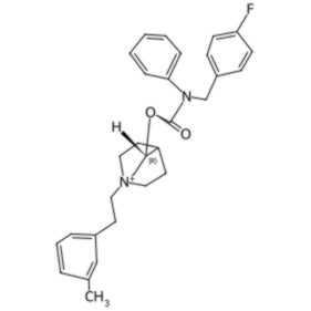 Cc1cccc(CC[N+]23CCC(CC2)[C@@H](OC(=O)N(Cc2ccc(F)cc2)c2ccccc2)C3)c1